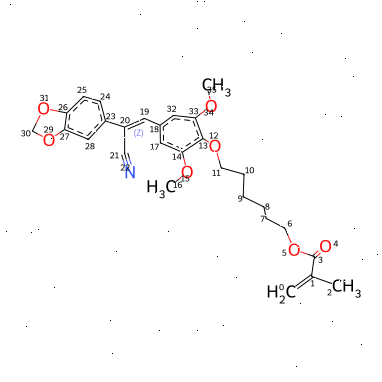 C=C(C)C(=O)OCCCCCCOc1c(OC)cc(/C=C(\C#N)c2ccc3c(c2)OCO3)cc1OC